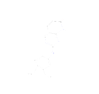 CCCn1c(=O)ccc2cnc(Nc3ccc(OC)c(OC)c3)nc21